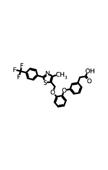 Cc1nc(-c2ccc(C(F)(F)F)cc2)sc1COc1ccccc1Oc1cccc(CC(=O)O)c1